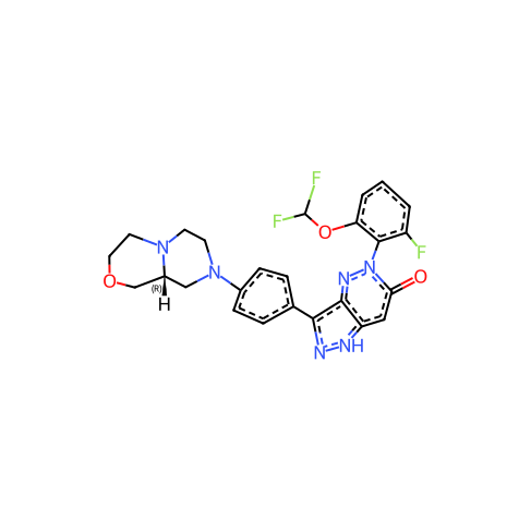 O=c1cc2[nH]nc(-c3ccc(N4CCN5CCOC[C@H]5C4)cc3)c2nn1-c1c(F)cccc1OC(F)F